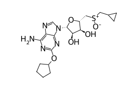 Nc1nc(OC2CCCC2)nc2c1ncn2[C@@H]1O[C@H](C[S+]([O-])CC2CC2)[C@@H](O)[C@H]1O